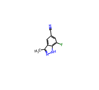 Cc1n[nH]c2c(F)cc(C#N)cc12